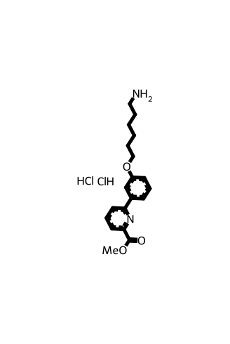 COC(=O)c1cccc(-c2cccc(OCCCCCCN)c2)n1.Cl.Cl